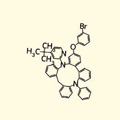 CC(C)(C)c1ccnc(N2c3ccccc3Cc3ccccc3N(c3ccccc3)c3ccccc3-c3ccc(Oc4cccc(Br)c4)cc32)c1